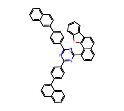 c1ccc2cc(-c3ccc(-c4nc(-c5ccc(-c6cccc7ccccc67)cc5)nc(-c5cccc6ccc7c8ccccc8oc7c56)n4)cc3)ccc2c1